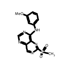 COc1cccc(Nc2ncnc3cnc(S(C)(=O)=O)nc23)c1